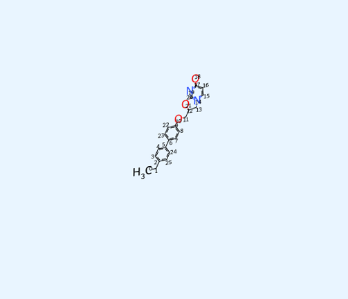 CCc1ccc(-c2ccc(OCC3Cn4ccc(=O)nc4O3)cc2)cc1